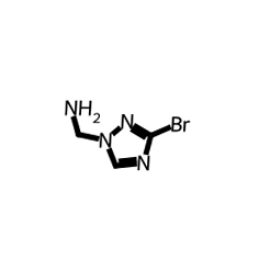 NCn1cnc(Br)n1